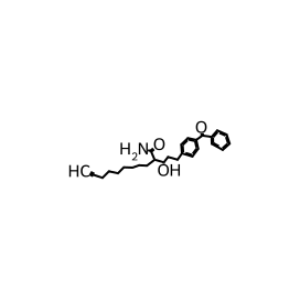 C#CCCCCCCCC(C(N)=O)C(O)CCc1ccc(C(=O)c2ccccc2)cc1